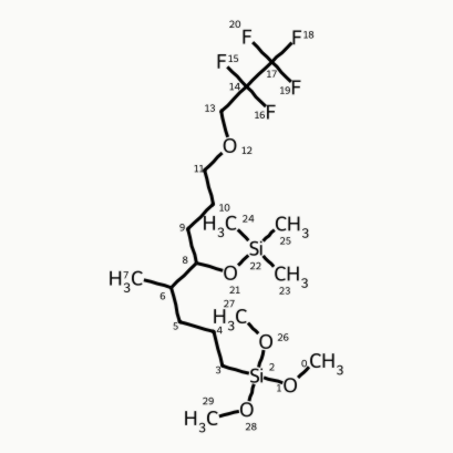 CO[Si](CCCC(C)C(CCCOCC(F)(F)C(F)(F)F)O[Si](C)(C)C)(OC)OC